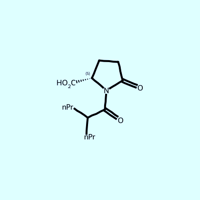 CCCC(CCC)C(=O)N1C(=O)CC[C@H]1C(=O)O